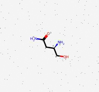 NC(=O)C[C@@H](N)CO